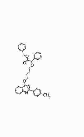 Cc1ccc(-c2nc(OCCCCOC(C(=O)OCc3ccccc3)c3ccccc3)c3ccccc3n2)cc1